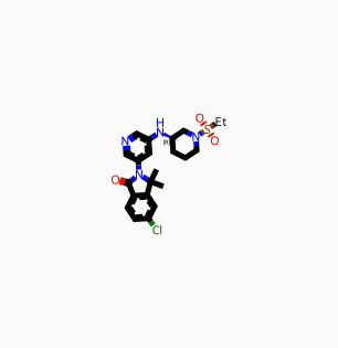 CCS(=O)(=O)N1CCC[C@@H](Nc2cncc(N3C(=O)c4ccc(Cl)cc4C3(C)C)c2)C1